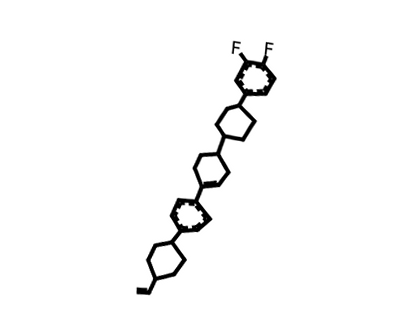 C=CC1CCC(c2ccc(C3=CCC(C4CCC(c5ccc(F)c(F)c5)CC4)CC3)cc2)CC1